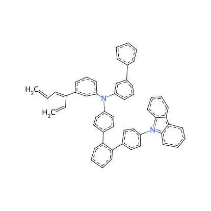 C=C/C=C(\C=C)c1cccc(N(c2ccc(-c3ccccc3-c3ccc(-n4c5ccccc5c5ccccc54)cc3)cc2)c2cccc(-c3ccccc3)c2)c1